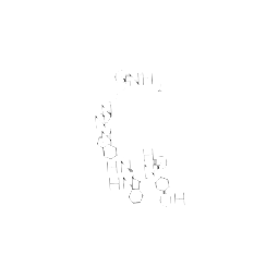 NC(=O)CCCCn1cnc(Cn2ccc3ccc(CNCc4[nH]c5ccccc5c4C4NC(=O)c5ccc(O)cc54)cc32)c1